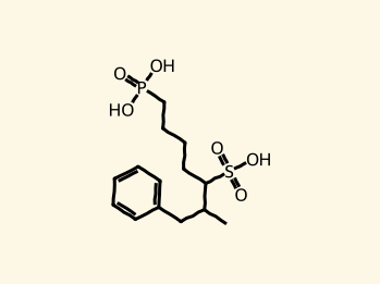 CC(Cc1ccccc1)C(CCCCP(=O)(O)O)S(=O)(=O)O